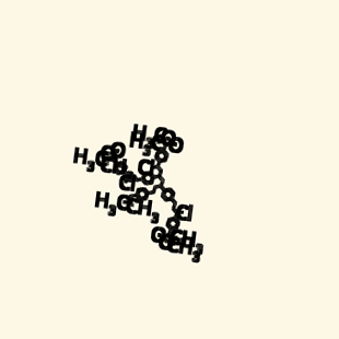 CC(C)Cc1ccc(CCC(CC(CC(Cl)c2ccc(C3C(=O)OC3(C)C)cc2)c2ccc(CCC(Cl)c3ccc(C4C(=O)OC4(C)C)cc3)cc2)c2ccc(CCC(Cl)c3ccc(C4C(=O)OC4(C)C)cc3)cc2)cc1